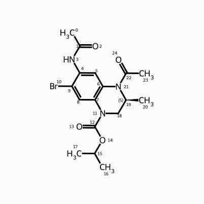 CC(=O)Nc1cc2c(cc1Br)N(C(=O)OC(C)C)C[C@H](C)N2C(C)=O